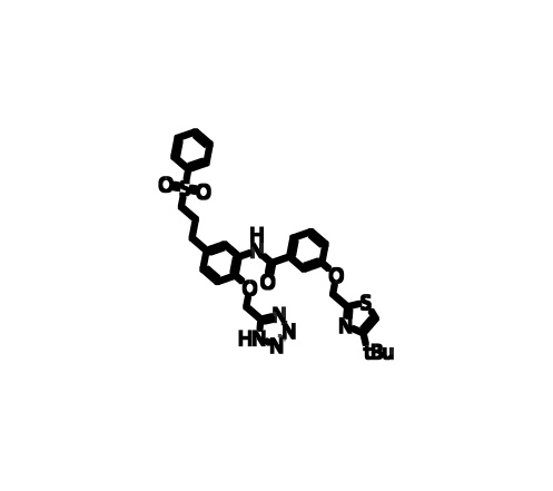 CC(C)(C)c1csc(COc2cccc(C(=O)Nc3cc(CCCS(=O)(=O)c4ccccc4)ccc3OCc3nnn[nH]3)c2)n1